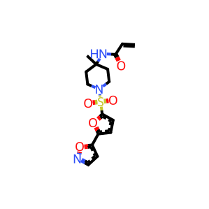 C=CC(=O)NC1(C)CCN(S(=O)(=O)c2ccc(-c3ccno3)o2)CC1